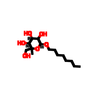 CCCCCCCCO[C@@H]1OC(C)(CO)[C@@H](O)[C@H](O)C1O